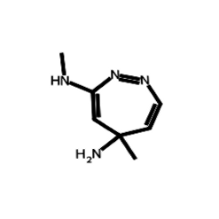 CNC1=CC(C)(N)C=CN=N1